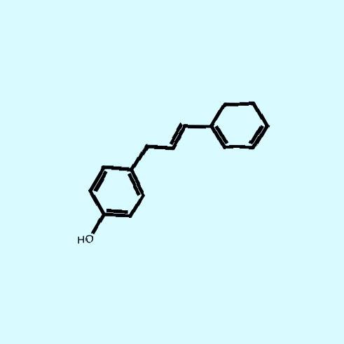 Oc1ccc(CC=CC2=CC=CCC2)cc1